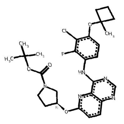 CC(C)(C)OC(=O)N1CC[C@H](Oc2ccc3ncnc(Nc4ccc(OC5(C)CCC5)c(Cl)c4F)c3n2)C1